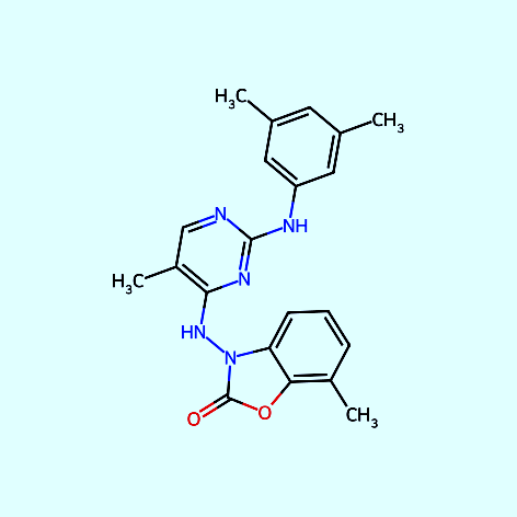 Cc1cc(C)cc(Nc2ncc(C)c(Nn3c(=O)oc4c(C)cccc43)n2)c1